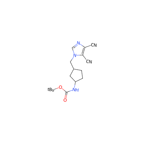 CC(C)(C)OC(=O)NC1CCC(Cn2cnc(C#N)c2C#N)C1